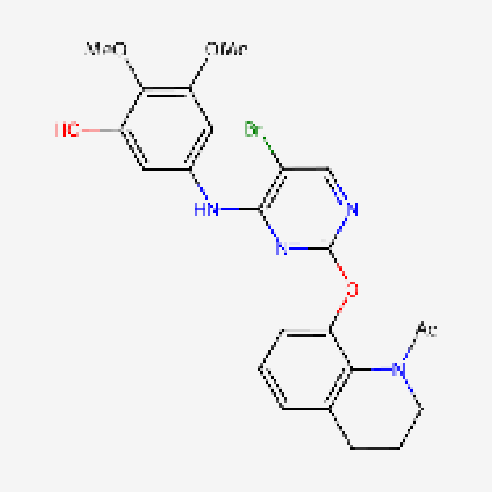 COc1cc(Nc2nc(Oc3cccc4c3N(C(C)=O)CCC4)ncc2Br)cc(O)c1OC